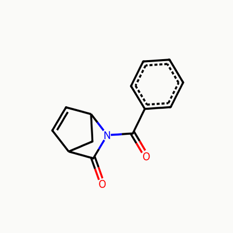 O=C(c1ccccc1)N1C(=O)C2C=CC1C2